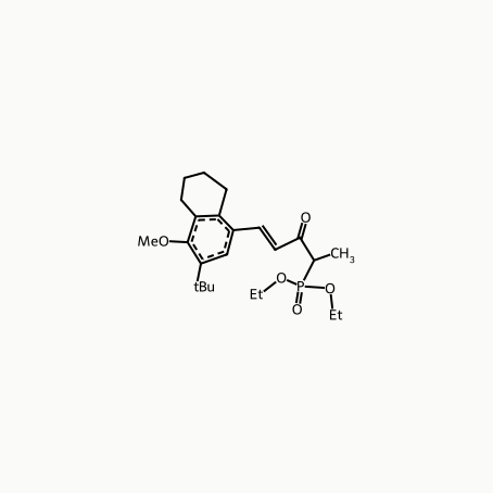 CCOP(=O)(OCC)C(C)C(=O)C=Cc1cc(C(C)(C)C)c(OC)c2c1CCCC2